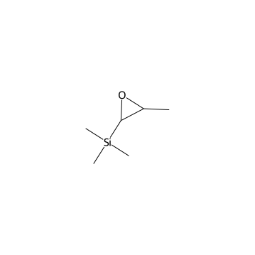 CC1OC1[Si](C)(C)C